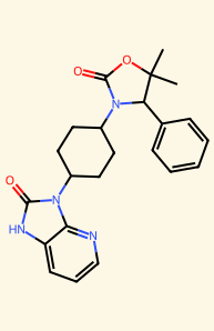 CC1(C)OC(=O)N(C2CCC(n3c(=O)[nH]c4cccnc43)CC2)C1c1ccccc1